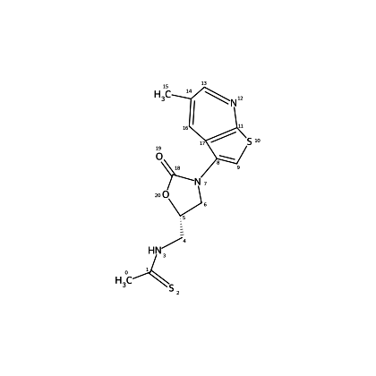 CC(=S)NC[C@H]1CN(c2csc3ncc(C)cc23)C(=O)O1